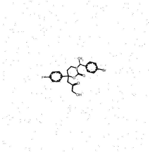 C[C@@H](c1ccc(Br)cc1)N1CCC(CC(=O)CO)(c2ccc(F)cc2)OC1=O